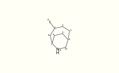 IC1CCC2CCC(C1)NC2